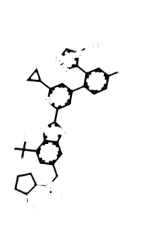 CN(Cc1cc(C(F)(F)F)c2oc(-c3cc(-c4ccc(F)cc4-c4nncn4C)cc(C4CC4)n3)nc2c1)[C@@H]1CCC[C@@H]1O